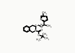 Cc1ccc(C(C)NC[C@H]2Cc3ccccc3CN2C(=O)OC(C)(C)C)nc1